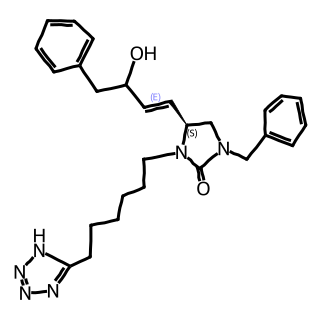 O=C1N(Cc2ccccc2)C[C@H](/C=C/C(O)Cc2ccccc2)N1CCCCCCc1nnn[nH]1